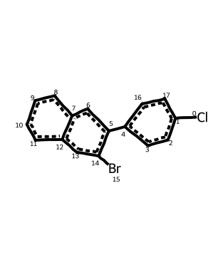 Clc1ccc(-c2cc3ccccc3cc2Br)cc1